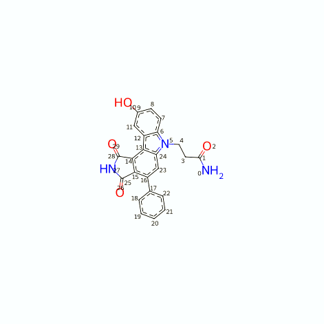 NC(=O)CCn1c2ccc(O)cc2c2c3c(c(-c4ccccc4)cc21)C(=O)NC3=O